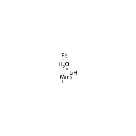 O.[Fe].[LiH].[Mn]